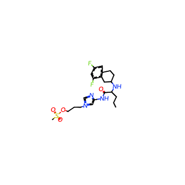 CCCC(NC1CCc2cc(F)cc(F)c2C1)C(=O)Nc1cn(CCCOS(C)(=O)=O)cn1